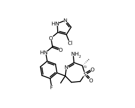 C[C@H]1C(N)=NC(C)(c2cc(NC(=O)Oc3[nH]ncc3Cl)ccc2F)CCS1(=O)=O